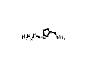 NCC1CC[C@@H](CN=NN)C1